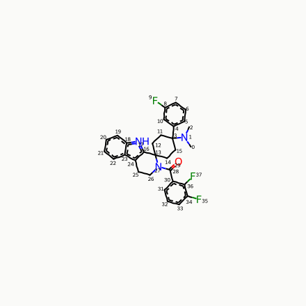 CN(C)C1(c2cccc(F)c2)CCC2(CC1)c1[nH]c3ccccc3c1CCN2C(=O)c1cccc(F)c1F